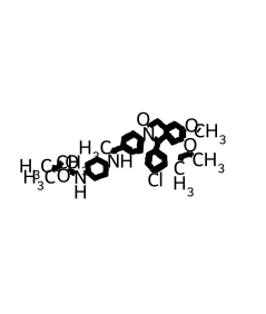 CCC(C)Oc1cc2c(cc1OC)CC(=O)N(c1ccc(C(C)NC3CCC(NC(=O)OC(C)(C)C)CC3)cc1)C2c1ccc(Cl)cc1